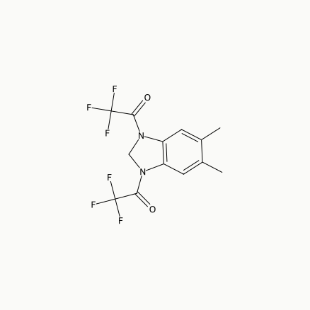 Cc1cc2c(cc1C)N(C(=O)C(F)(F)F)CN2C(=O)C(F)(F)F